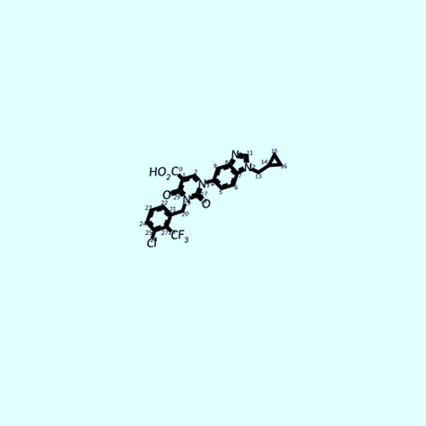 O=C(O)c1cn(-c2ccc3c(c2)ncn3CC2CC2)c(=O)n(Cc2cccc(Cl)c2C(F)(F)F)c1=O